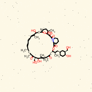 C\C1=C/C=C/C=C/[C@@H](C)C[C@@H](C)C(=O)[C@H](CO)[C@H](O)/C(C)=C/[C@@H](C)C(=O)C[C@@H]([C@H](C)C[C@@H]2CC[C@@H](O)[C@H](CO)C2)OC(=O)[C@@H]2CCCCN2C(=O)C(=O)[C@]2(O)O[C@@H](CC[C@H]2C)CC1O